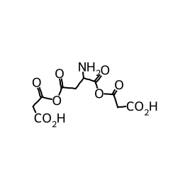 NC(CC(=O)OC(=O)CC(=O)O)C(=O)OC(=O)CC(=O)O